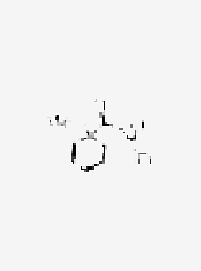 COC1(C(=O)[C@H]2O[C@@H]2C(C)C)C=CC=CC1